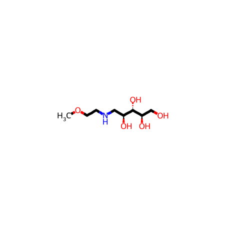 COCCNC[C@H](O)[C@H](O)[C@H](O)CO